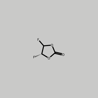 O=C1OC(F)[C@@H](F)O1